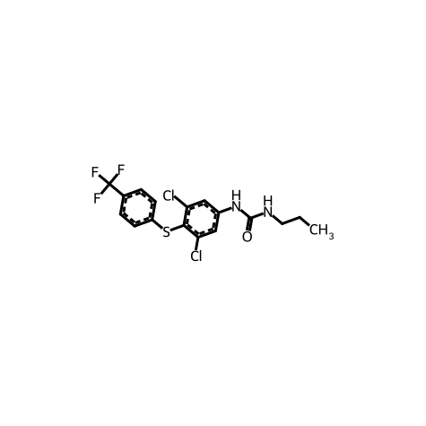 CCCNC(=O)Nc1cc(Cl)c(Sc2ccc(C(F)(F)F)cc2)c(Cl)c1